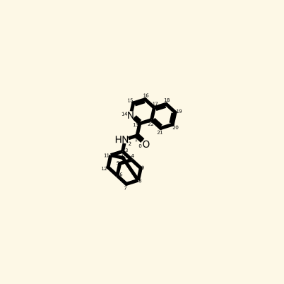 O=C(NC1C2CC3CC(C2)CC1C3)c1nccc2ccccc12